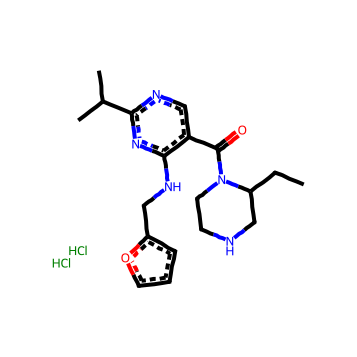 CCC1CNCCN1C(=O)c1cnc(C(C)C)nc1NCc1ccco1.Cl.Cl